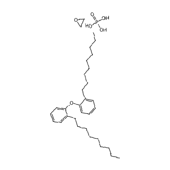 C1CO1.CCCCCCCCCc1ccccc1Oc1ccccc1CCCCCCCCC.O=P(O)(O)O